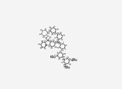 CC(C)(C)c1cc(-c2cccc(N(c3cccc(-c4cccc(C5CCCCC5)c4)c3)c3ccc4c(c3)C(C)(C)c3ccccc3-4)c2)cc(-c2cc(C(C)(C)C)cc(C(C)(C)C)c2)c1